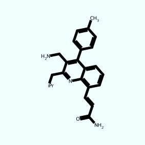 Cc1ccc(-c2c(CN)c(CC(C)C)nc3c(/C=C/C(N)=O)cccc23)cc1